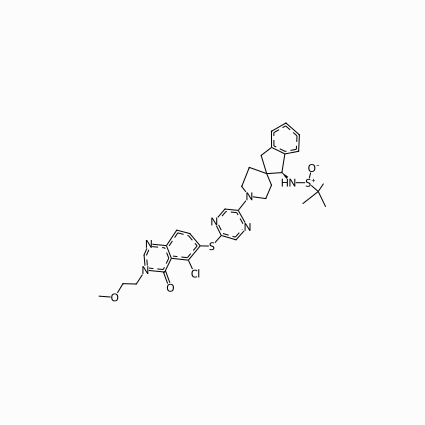 COCCn1cnc2ccc(Sc3cnc(N4CCC5(CC4)Cc4ccccc4[C@H]5N[S+]([O-])C(C)(C)C)cn3)c(Cl)c2c1=O